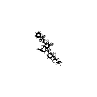 CC#CCn1c(N2CCCC(NC(=O)OC(C)(C)C)C2)nc2c(=O)n(C)n(CCS(=O)(=O)c3ccccc3)c(=O)c21